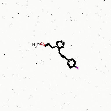 CO/C=C/Cc1ccccc1CC#Cc1ccc(I)cc1